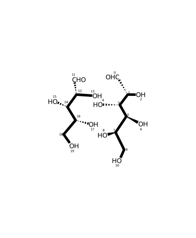 O=C[C@H](O)[C@@H](O)[C@@H](O)[C@H](O)CO.O=C[C@H](O)[C@@H](O)[C@H](O)CO